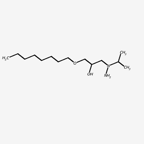 CCCCCCCCOCC(O)CN(N)C(C)C